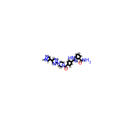 Cn1cc(-c2cnc(N3CCN(C(=O)c4ccc(-c5nc6c(C(N)=O)cccc6[nH]5)cc4)CC3)nc2)cn1